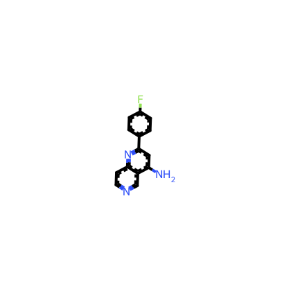 Nc1cc(-c2ccc(F)cc2)nc2ccncc12